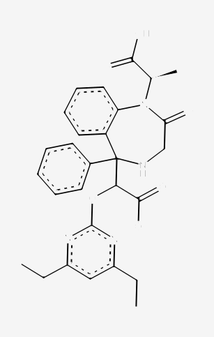 CCc1cc(CC)nc(OC(C(=O)O)C2(c3ccccc3)NCC(=O)N([C@H](C)C(=O)O)c3ccccc32)n1